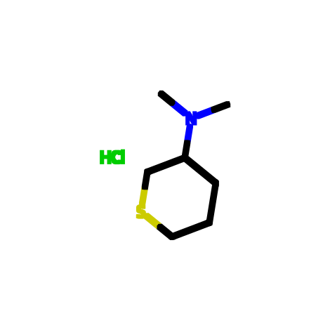 CN(C)C1CCCSC1.Cl